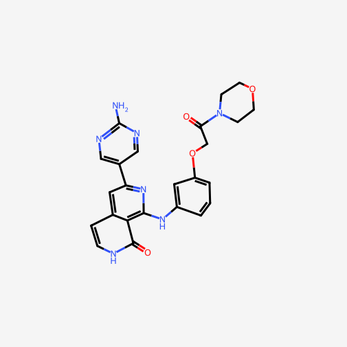 Nc1ncc(-c2cc3cc[nH]c(=O)c3c(Nc3cccc(OCC(=O)N4CCOCC4)c3)n2)cn1